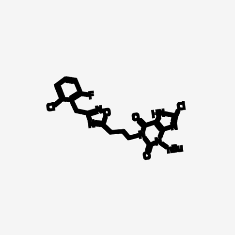 CCCCn1c(=O)n(CCCc2nc(Cc3c(F)cccc3Cl)no2)c(=O)c2[nH]c(Cl)nc21